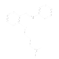 CN(C)CCCOc1ccccc1/C=N/c1ccccc1